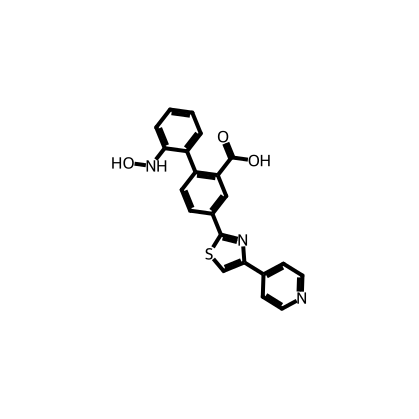 O=C(O)c1cc(-c2nc(-c3ccncc3)cs2)ccc1-c1ccccc1NO